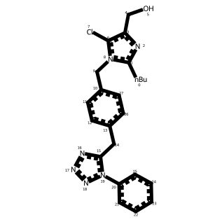 CCCCc1nc(CO)c(Cl)n1Cc1ccc(Cc2nnnn2-c2ccccc2)cc1